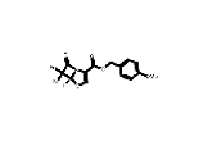 COc1ccc(COC(=O)C2=CS[C@H]3N2C(=O)C3(Br)Br)cc1